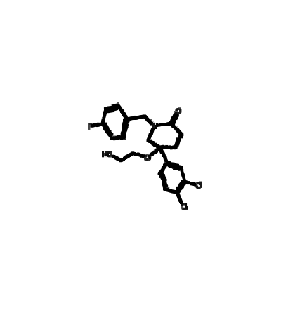 O=C1CCC(OCCO)(c2ccc(Cl)c(Cl)c2)CN1Cc1ccc(F)cc1